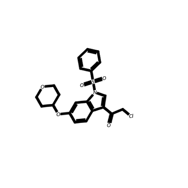 O=C(CCl)c1cn(S(=O)(=O)c2ccccc2)c2cc(OC3CCOCC3)ccc12